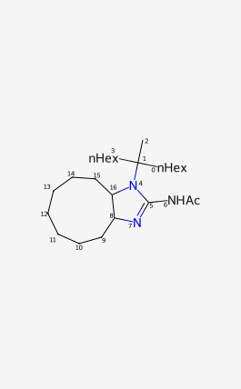 CCCCCCC(C)(CCCCCC)N1C(NC(C)=O)=NC2CCCCCCCC21